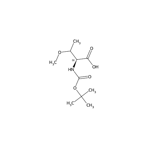 COC(C)[C@H](NC(=O)OC(C)(C)C)C(=O)O